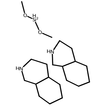 C1CCC2CNCCC2C1.C1CCC2CNCCC2C1.CO[SiH2]OC